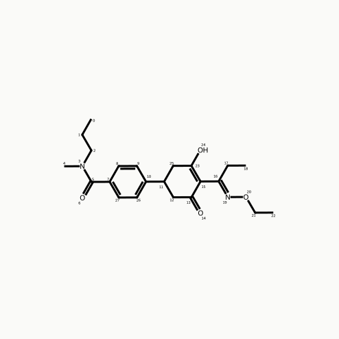 CCCN(C)C(=O)c1ccc(C2CC(=O)C(C(CC)=NOCC)=C(O)C2)cc1